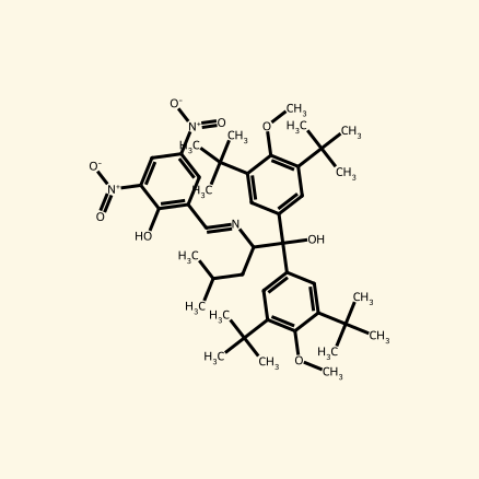 COc1c(C(C)(C)C)cc(C(O)(c2cc(C(C)(C)C)c(OC)c(C(C)(C)C)c2)C(CC(C)C)N=Cc2cc([N+](=O)[O-])cc([N+](=O)[O-])c2O)cc1C(C)(C)C